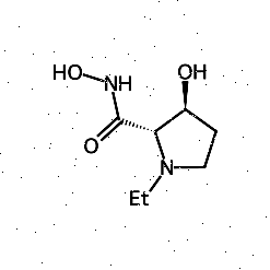 CCN1CC[C@H](O)[C@H]1C(=O)NO